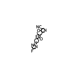 CCC1(C(=O)N2CCOc3c(C#N)cncc3C2)CCN(c2ncc(F)cn2)CC1